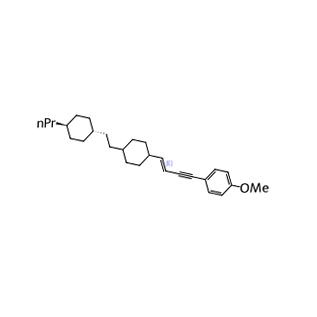 CCC[C@H]1CC[C@H](CCC2CCC(/C=C/C#Cc3ccc(OC)cc3)CC2)CC1